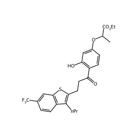 CCCc1c(CCC(=O)c2ccc(OC(C)C(=O)OCC)cc2O)sc2cc(C(F)(F)F)ccc12